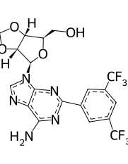 Nc1nc(-c2cc(C(F)(F)F)cc(C(F)(F)F)c2)nc2c1ncn2[C@@H]1O[C@H](CO)[C@H]2OCO[C@H]21